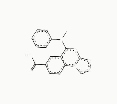 CN(c1ccccc1)c1nc2nncn2c2ccc(C(N)=O)cc12